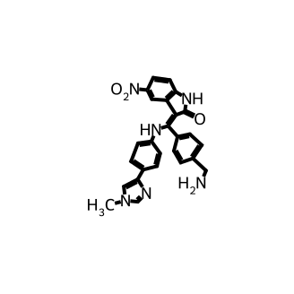 Cn1cnc(-c2ccc(NC(=C3C(=O)Nc4ccc([N+](=O)[O-])cc43)c3ccc(CN)cc3)cc2)c1